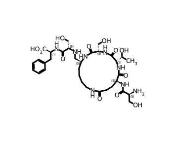 CC(O)[C@@H]1NC(=O)[C@@H](NC(=O)[C@@H](N)CO)CCC(=O)NCCCC[C@@H](CN[C@@H](CO)C(=O)N[C@@H](Cc2ccccc2)C(=O)O)NC(=O)[C@H](CO)NC1=O